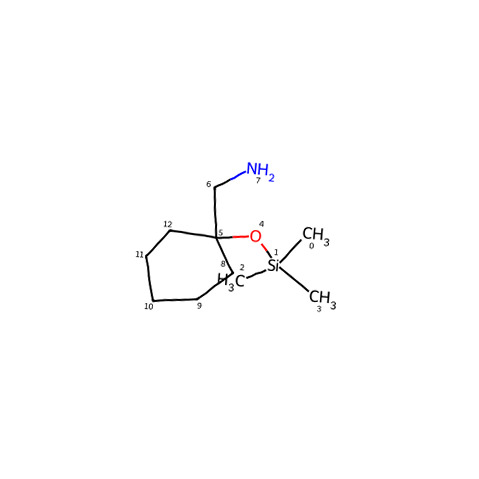 C[Si](C)(C)OC1(CN)CCCCC1